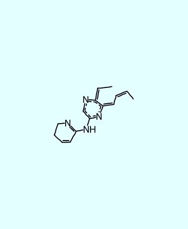 C\C=C/C=c1/nc(NC2=NCCC=C2)cn/c1=C/C